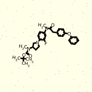 CN(C(=O)Cc1ccc(Oc2ccccc2)cc1)c1ccc(N2CCC(N(C)C(=O)OC(C)(C)C)C2)c(F)c1